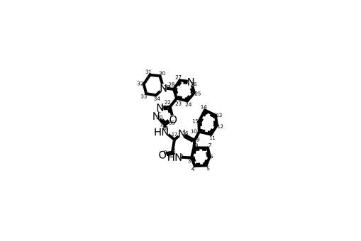 O=C1Nc2ccccc2C(c2ccccc2)=NC1Nc1nnc(-c2ccncc2N2CCCCC2)o1